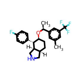 Cc1cc([C@H](C)O[C@H]2CC[C@H]3CNC[C@H]3[C@@H]2c2ccc(F)cc2)cc(C(F)(F)F)c1